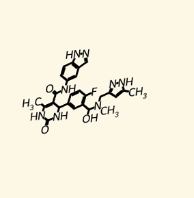 CC1=C(C(=O)Nc2ccc3[nH]ncc3c2)C(c2ccc(F)c(C(O)N(C)Cc3cc(C)[nH]n3)c2)NC(=O)N1